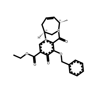 CCOC(=O)c1cn2c(c(OCc3ccccc3)c1=O)C(=O)N1C[C@@H]2CC=C[C@@H]1C